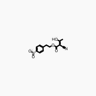 CC(O)=C(C#N)C(=O)OCCc1ccc([N+](=O)[O-])cc1